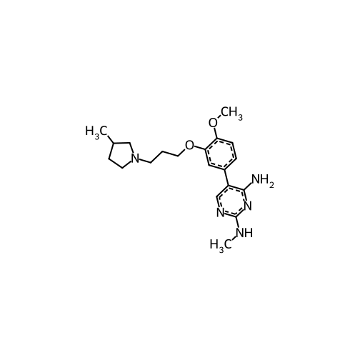 CNc1ncc(-c2ccc(OC)c(OCCCN3CCC(C)C3)c2)c(N)n1